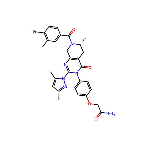 Cc1cc(C)n(-c2nc3c(c(=O)n2-c2ccc(OCC(N)=O)cc2)C[C@@H](C)N(C(=O)c2ccc(Br)c(C)c2)C3)n1